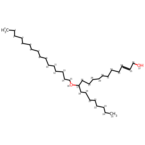 CCCCCCCCCCCCCCCCOC(CCCCCCCC)CCCCCCCCC=CCO